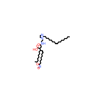 CCCCCCCC/C=C\CCCCCCCC1=NCCN1CCNC(=O)CC(C(=O)O)C(/C=C\CCCCCCC(=O)N=O)CCCCCCCC